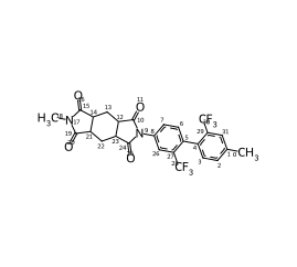 Cc1ccc(-c2ccc(N3C(=O)C4CC5C(=O)N(C)C(=O)C5CC4C3=O)cc2C(F)(F)F)c(C(F)(F)F)c1